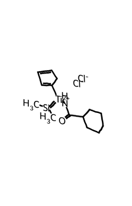 C[Si](C)=[Ti+2]([NH]C(=O)C1CCCCC1)[C]1=CC=CC1.[Cl-].[Cl-]